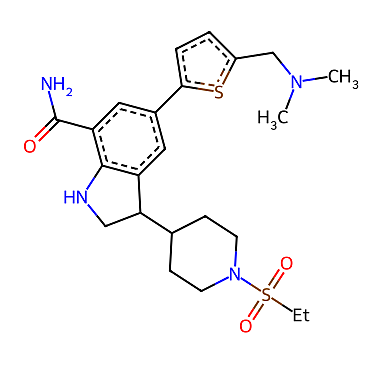 CCS(=O)(=O)N1CCC(C2CNc3c(C(N)=O)cc(-c4ccc(CN(C)C)s4)cc32)CC1